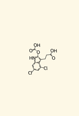 O=C(O)CCc1c(OC(=O)O)[nH]c2cc(Cl)cc(Cl)c12